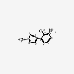 Nc1ccc(-c2cccc(N)c2Cl)cc1